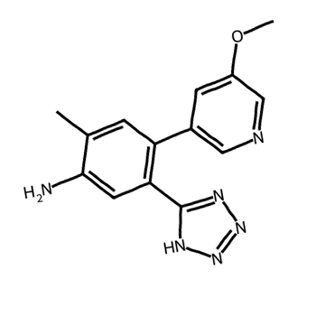 COc1cncc(-c2cc(C)c(N)cc2-c2nnn[nH]2)c1